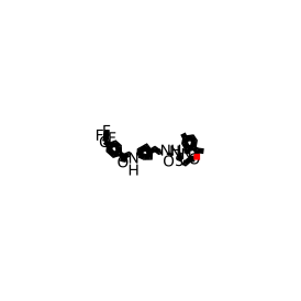 Cc1ccc(C(C)C)c(N2C(=O)CS/C2=N\C(=O)NCCc2ccc(NCC(=O)c3ccc(OC(F)(F)F)cc3)cc2)c1